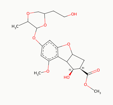 COC(=O)[C@@H]1CC2Oc3cc(OC4OC(CCO)COC4C)cc(OC)c3C2[C@@H]1O